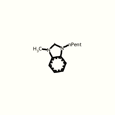 CCCCCN1[CH]N(C)c2ccccc21